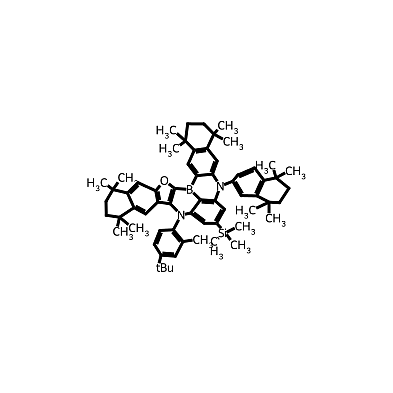 Cc1cc(C(C)(C)C)ccc1N1c2cc([Si](C)(C)C)cc3c2B(c2cc4c(cc2N3c2ccc3c(c2)C(C)(C)CCC3(C)C)C(C)(C)CCC4(C)C)c2oc3cc4c(cc3c21)C(C)(C)CCC4(C)C